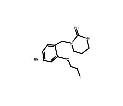 Br.N=C1NCCCN1Cc1ccccc1OCCF